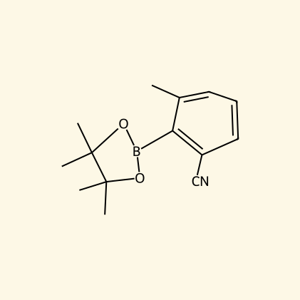 Cc1cccc(C#N)c1B1OC(C)(C)C(C)(C)O1